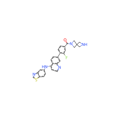 O=C(c1ccc(-c2ccc3c(Nc4ccc5scnc5c4)ccnc3c2)c(F)c1)N1CC2(CNC2)C1